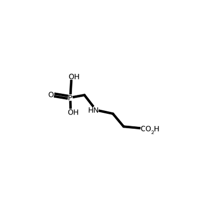 O=C(O)CCNCP(=O)(O)O